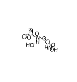 Cl.O=C(C=C(CN1CCC1)c1cc2ccccc2o1)NCCOc1ccc(C(=O)NO)cc1